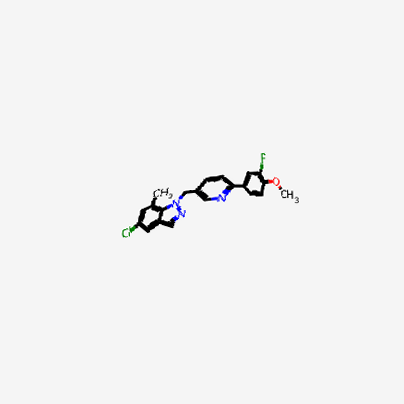 COc1ccc(-c2ccc(Cn3ncc4cc(Cl)cc(C)c43)cn2)cc1F